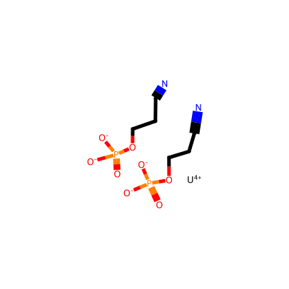 N#CCCOP(=O)([O-])[O-].N#CCCOP(=O)([O-])[O-].[U+4]